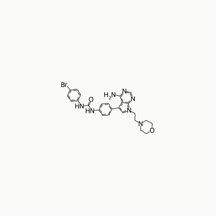 Nc1ncnc2c1c(-c1ccc(NC(=O)Nc3ccc(Br)cc3)cc1)cn2CCN1CCOCC1